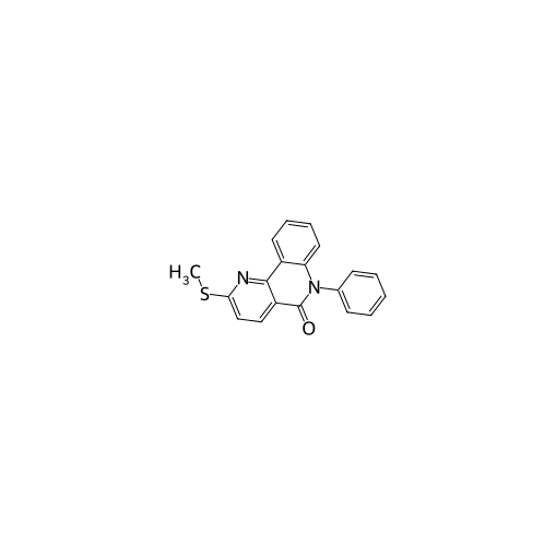 CSc1ccc2c(=O)n(-c3ccccc3)c3ccccc3c2n1